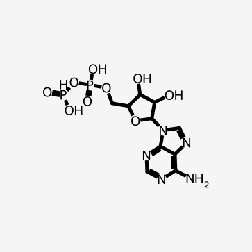 Nc1ncnc2c1ncn2C1OC(COP(=O)(O)O[PH](=O)O)C(O)C1O